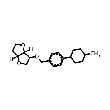 CC1CCC(c2ccc(COC3CO[C@@H]4CCO[C@H]34)cc2)CC1